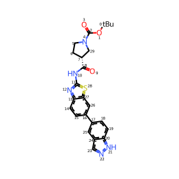 CC(C)(C)OC(=O)N1CC[C@@H](C(=O)Nc2nc3ccc(-c4ccc5[nH]ncc5c4)cc3s2)C1